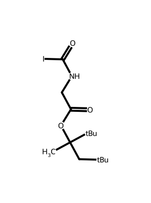 CC(C)(C)CC(C)(OC(=O)CNC(=O)I)C(C)(C)C